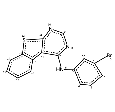 Brc1cccc(Nc2ncnc3sc4ccccc4c23)c1